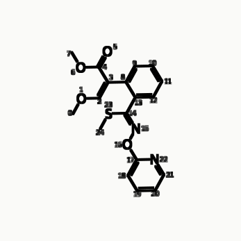 COC=C(C(=O)OC)c1ccccc1C(=NOc1ccccn1)SC